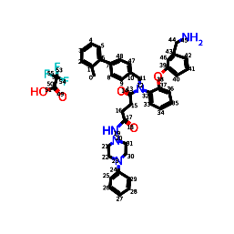 Cc1ccccc1-c1ccc(CN(C(=O)CCC(=O)NN2CCN(c3ccccc3)CC2)c2ccccc2Oc2cccc(CN)c2)cc1.O=C(O)C(F)(F)F